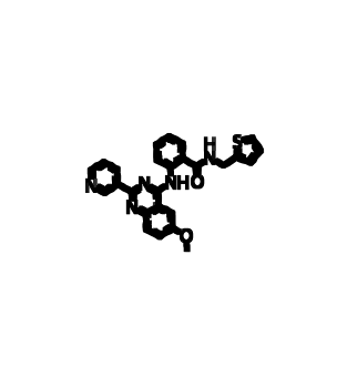 COc1ccc2nc(-c3cccnc3)nc(Nc3ccccc3C(=O)NCc3cccs3)c2c1